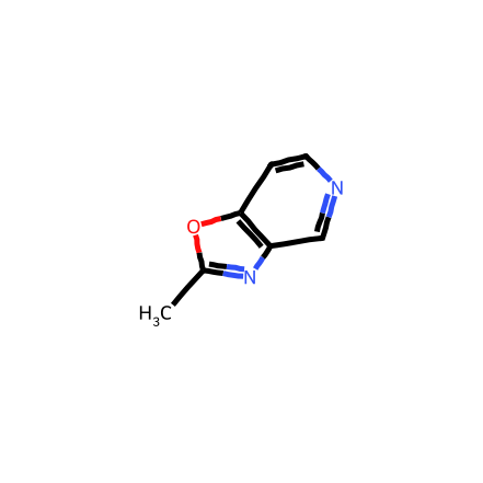 Cc1nc2cnccc2o1